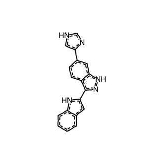 c1ccc2[nH]c(-c3n[nH]c4cc(-c5c[nH]cn5)ccc34)cc2c1